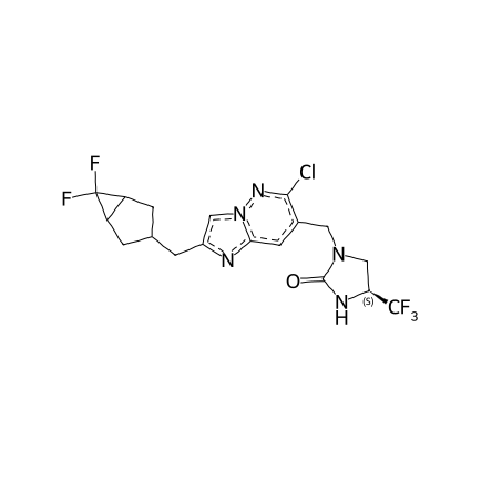 O=C1N[C@H](C(F)(F)F)CN1Cc1cc2nc(CC3CC4C(C3)C4(F)F)cn2nc1Cl